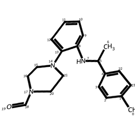 Cc1ccc(C(C)Nc2ccccc2N2CCN(C=O)CC2)cc1